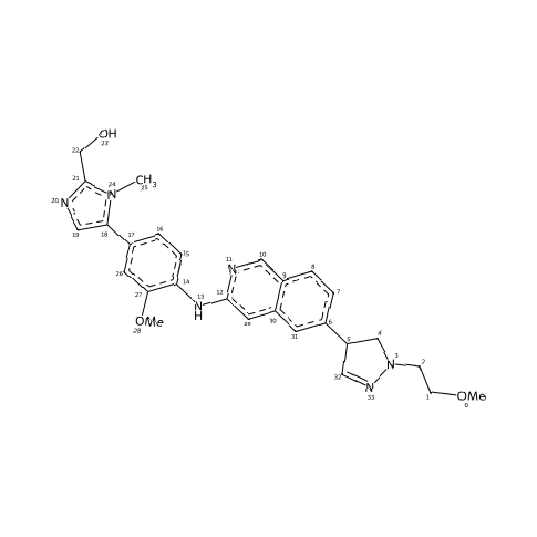 COCCN1CC(c2ccc3cnc(Nc4ccc(-c5cnc(CO)n5C)cc4OC)cc3c2)C=N1